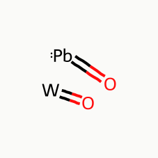 [O]=[Pb].[O]=[W]